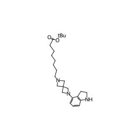 CC(C)(C)OC(=O)CCCCCCCN1CC2(C1)CN(c1cccc3c1CCN3)C2